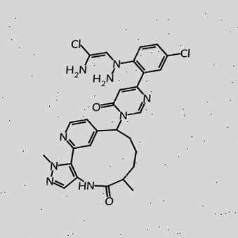 CC1CCCC(n2cnc(-c3cc(Cl)ccc3N(N)/C=C(\N)Cl)cc2=O)c2ccnc(c2)-c2c(cnn2C)NC1=O